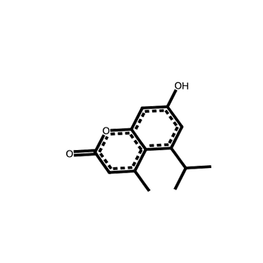 Cc1cc(=O)oc2cc(O)cc(C(C)C)c12